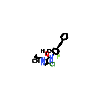 Cc1cc(C#Cc2ccccc2)cc(F)c1NC(=O)c1c(Cl)cnn1CC1(C#N)CC1